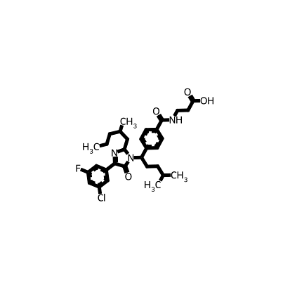 CCCC(C)CC1N=C(c2cc(F)cc(Cl)c2)C(=O)N1C(CCC(C)C)c1ccc(C(=O)NCCC(=O)O)cc1